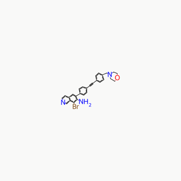 Nc1c(-c2ccc(C#Cc3ccc(CN4CCOCC4)cc3)cc2)cc2ccncc2c1Br